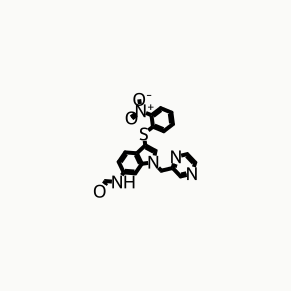 O=CNc1ccc2c(Sc3ccccc3[N+](=O)[O-])cn(Cc3cnccn3)c2c1